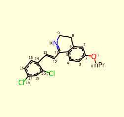 CCCOc1ccc2c(c1)CCN=C2/C=C/c1ccc(Cl)cc1Cl